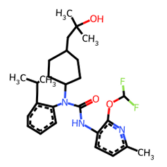 Cc1ccc(NC(=O)N(c2ccccc2C(C)C)C2CCC(CC(C)(C)O)CC2)c(OC(F)F)n1